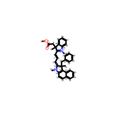 COC(=O)CC1(C)C(/C=C/C=C2/N(C)c3ccc4ccccc4c3C2(C)Cc2ccccc2)=[N+](C)c2ccccc21